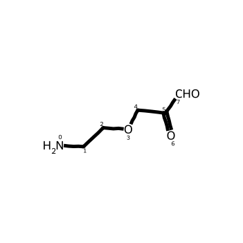 NCCOCC(=O)C=O